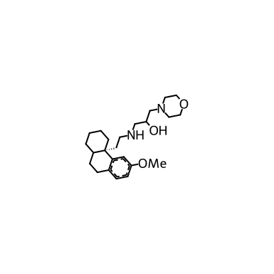 COc1ccc2c(c1)[C@]1(CCNCC(O)CN3CCOCC3)CCCCC1CC2